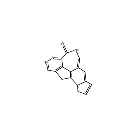 O=c1[nH]cc2cc3cccc3c3c2c2c(nnnc12)C3